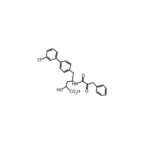 O=C(Cc1ccccc1)C(=O)NC(Cc1ccc(-c2cccc(Cl)c2)cc1)CC(O)C(=O)O